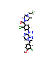 COc1ccc(-c2cnc3c(Nc4ccc(C(=O)N5CCN(CCCl)CC5)c(Cl)c4)nccn23)cc1F